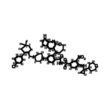 CC1(C)CCC(CN2CCN(c3ccc(C(=O)NS(=O)(=O)c4ccc(NC5(C6CCOCC6)CC5)c([N+](=O)[O-])c4)c(N4CCCOc5nc6[nH]ccc6cc54)c3)CC2)=C(c2ccc(Cl)cc2)C1